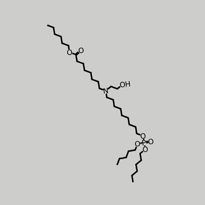 CCCCCCOC(=O)CCCCCCCN(CCO)CCCCCCCCCOP(=O)(OCCCCC)OCCCCCC